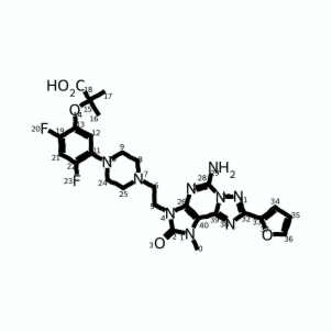 Cn1c(=O)n(CCN2CCN(c3cc(OC(C)(C)C(=O)O)c(F)cc3F)CC2)c2nc(N)n3nc(-c4ccco4)nc3c21